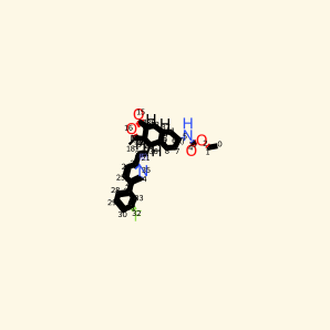 CCOC(=O)N[C@@H]1CC[C@@H]2[C@@H](C1)C[C@@H]1C(=O)O[C@H](C)[C@@H]1[C@@H]2/C=C/c1ccc(-c2cccc(F)c2)cn1